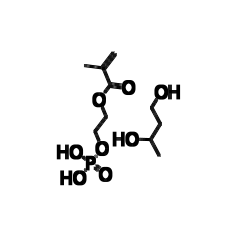 C=C(C)C(=O)OCCOP(=O)(O)O.CC(O)CCO